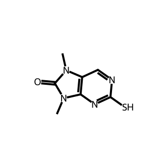 Cn1c(=O)n(C)c2nc(S)ncc21